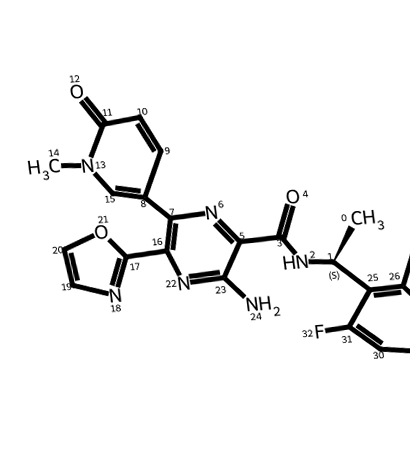 C[C@H](NC(=O)c1nc(-c2ccc(=O)n(C)c2)c(-c2ncco2)nc1N)c1c(F)cccc1F